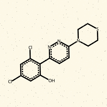 Oc1cc(Cl)cc(Cl)c1-c1ccc(N2CCSCC2)nn1